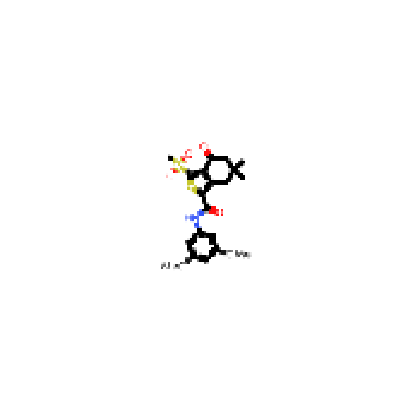 COc1cc(NC(=O)c2sc(S(C)(=O)=O)c3c2CC(C)(C)CC3=O)cc(OC)c1